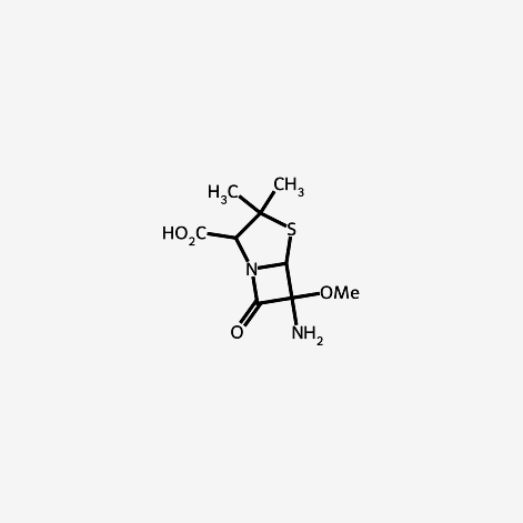 COC1(N)C(=O)N2C(C(=O)O)C(C)(C)SC21